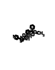 CCOC(=O)C(c1cccc(NC(=O)Nc2csc(-c3ccncc3)n2)n1)N1CCCCC1